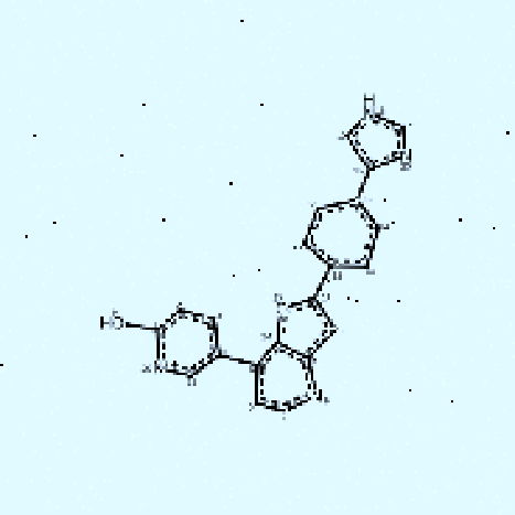 Oc1ccc(-c2ccnc3cc(-c4ccc(-c5c[nH]cn5)cc4)oc23)cn1